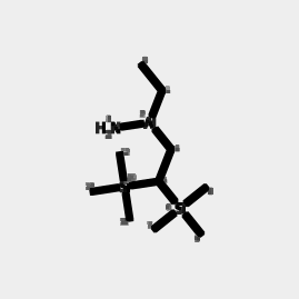 C[CH2][Al]([NH2])[CH2]C([Si](C)(C)C)[Si](C)(C)C